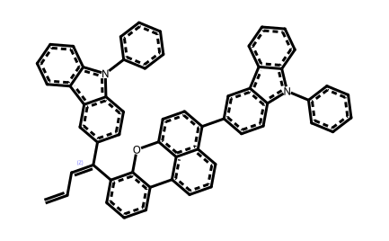 C=C/C=C(/c1ccc2c(c1)c1ccccc1n2-c1ccccc1)c1cccc2c1Oc1ccc(-c3ccc4c(c3)c3ccccc3n4-c3ccccc3)c3cccc-2c13